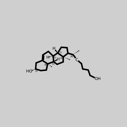 C[C@H](CCCCCO)C1CC[C@H]2[C@@H]3CC=C4C[C@@H](O)CC[C@]4(C)[C@H]3CC[C@]12C